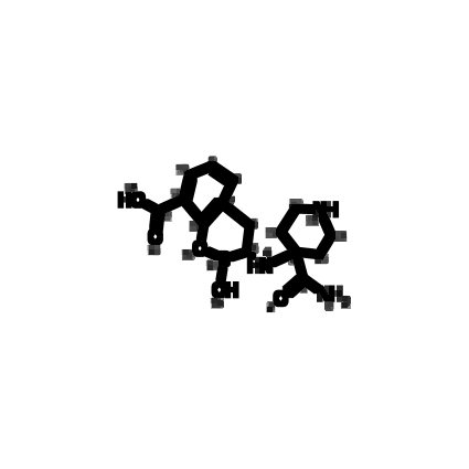 NC(=O)C1(N[C@H]2Cc3cccc(C(=O)O)c3OB2O)CCNCC1